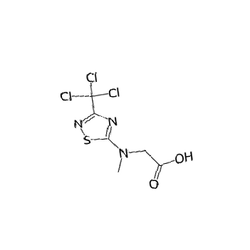 CN(CC(=O)O)c1nc(C(Cl)(Cl)Cl)ns1